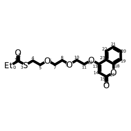 CCC(=O)SCCOCCOCCOc1cc(=O)oc2ccccc12